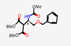 COC(=O)N[C@@H](COCc1ccccc1)C(C(=O)OC)C(=O)OC